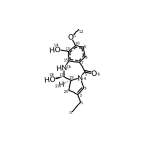 CCC1=CN2C(=O)c3ccc(OC)c(O)c3N[C@H](O)[C@@H]2C1